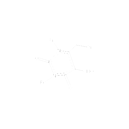 CCn1c(CBr)c(C=O)c(=O)n(CC)c1=O